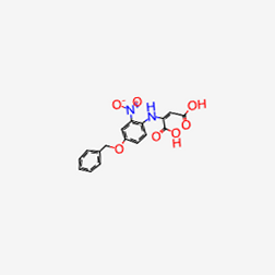 O=C(O)C=C(Nc1ccc(OCc2ccccc2)cc1[N+](=O)[O-])C(=O)O